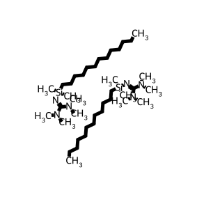 CCCCCCCCCCCCC[Si](C)(C)N=C(N(C)C)N(C)C.CCCCCCCCCCCC[Si](C)(C)N=C(N(C)C)N(C)C